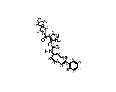 Cn1ncc(C(=O)N2CC3(COC3)C2)c1OC(=O)Nc1ccn2cc(-c3ccccc3)nc2c1